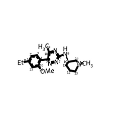 CCc1ccc(-c2nnc(N[C@@H]3CCCN(C)C3)nc2C)c(OC)c1